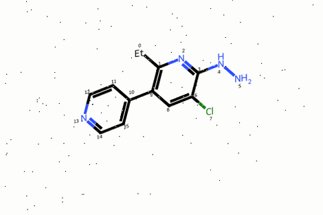 CCc1nc(NN)c(Cl)cc1-c1ccncc1